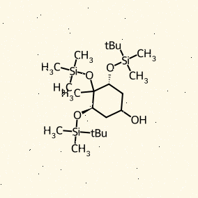 CC1(O[Si](C)(C)C)[C@H](O[Si](C)(C)C(C)(C)C)CC(O)C[C@H]1O[Si](C)(C)C(C)(C)C